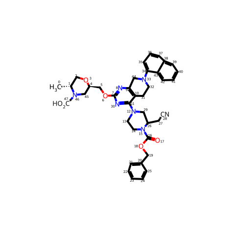 C[C@@H]1CO[C@@H](COc2nc3c(c(N4CCN(C(=O)OCc5ccccc5)C(CC#N)C4)n2)CCN(c2cccc4ccccc24)C3)CN1C(=O)O